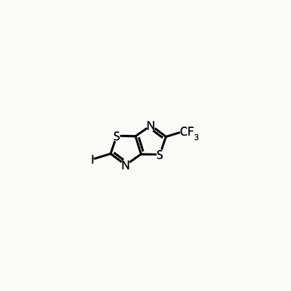 FC(F)(F)c1nc2sc(I)nc2s1